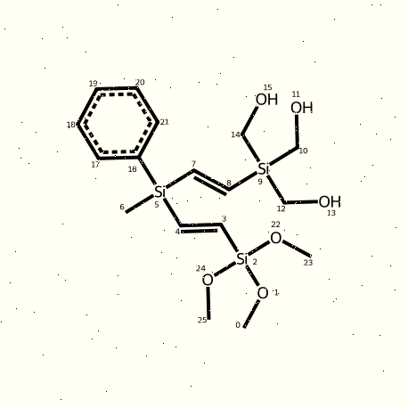 CO[Si](C=C[Si](C)(C=C[Si](CO)(CO)CO)c1ccccc1)(OC)OC